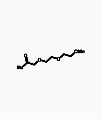 CCC(C)C(=O)COCCOCCOC